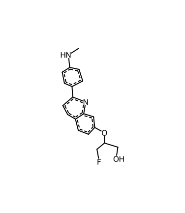 CNc1ccc(-c2ccc3ccc(OC(CO)CF)cc3n2)cc1